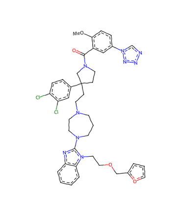 COc1ccc(-n2cnnn2)cc1C(=O)N1CCC(CCN2CCCN(c3nc4ccccc4n3CCOCc3ccco3)CC2)(c2ccc(Cl)c(Cl)c2)C1